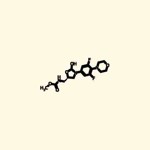 COC(=O)NC[C@H]1CN(c2cc(F)c(N3CCOCC3)c(F)c2)C(O)O1